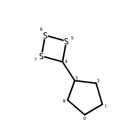 C1CCC(C2SSS2)C1